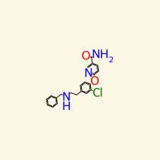 NC(=O)c1ccc(Oc2ccc(CCNCc3ccccc3)cc2Cl)nc1